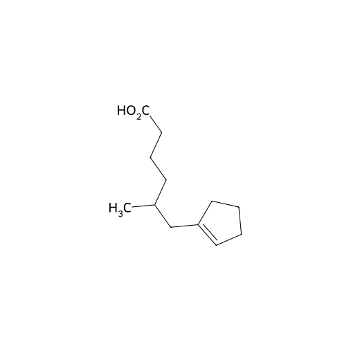 CC(CCCC(=O)O)CC1=CCCC1